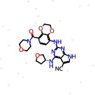 N#Cc1c[nH]c2nc(Nc3ccc(C(=O)N4CCOCC4)c4c3OCCO4)nc(N[C@@H]3CCOC3)c12